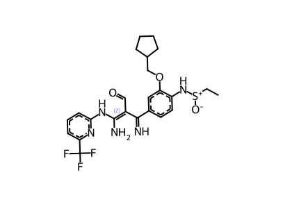 CC[S+]([O-])Nc1ccc(C(=N)/C(C=O)=C(\N)Nc2cccc(C(F)(F)F)n2)cc1OCC1CCCC1